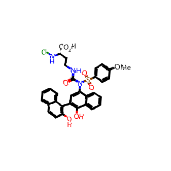 COc1ccc(S(=O)(=O)N(C(=O)NCC[C@H](NCl)C(=O)O)c2cc(-c3c(O)ccc4ccccc34)c(O)c3ccccc23)cc1